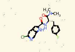 CN(C)C(=O)[C@H](Cc1ccc(F)cc1)NC(=O)c1cc2cc(Cl)ncc2[nH]1